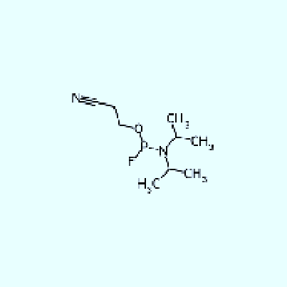 CC(C)N(C(C)C)P(F)OCCC#N